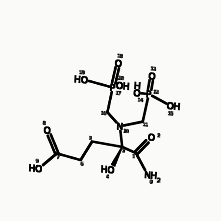 NC(=O)[C@](O)(CCC(=O)O)N(CP(=O)(O)O)CP(=O)(O)O